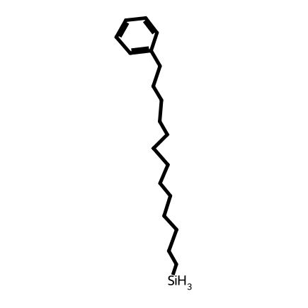 [SiH3]CCCCCCCCCCCCCc1ccccc1